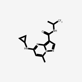 Cc1cc(NC2CC2)nc2c(C(=O)NC(C)C(F)(F)F)cnn12